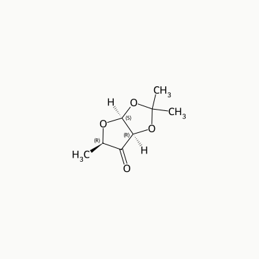 C[C@H]1O[C@H]2OC(C)(C)O[C@H]2C1=O